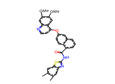 COc1cc2nccc(Oc3ccc4c(C(=O)Nc5nc6cc(C)c(C)cc6s5)cccc4c3)c2cc1OC